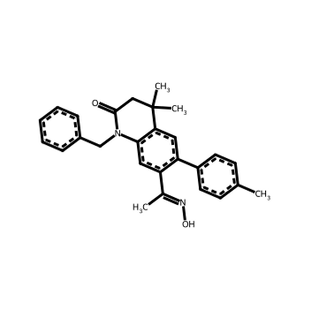 CC(=NO)c1cc2c(cc1-c1ccc(C)cc1)C(C)(C)CC(=O)N2Cc1ccccc1